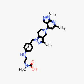 Cc1cc(N2CCc3c(c(C)nn3CC34CCC(NCCN(C)C(=O)O)(CC3)CC4)C2)c2cnn(C)c2n1